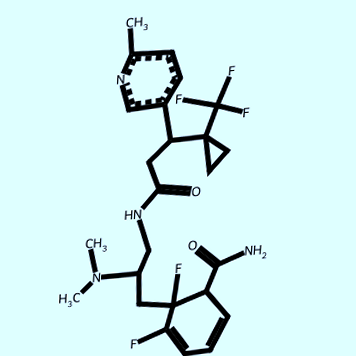 Cc1ccc(C(CC(=O)NCC(CC2(F)C(F)=CC=CC2C(N)=O)N(C)C)C2(C(F)(F)F)CC2)cn1